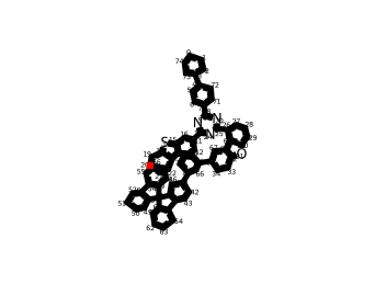 c1ccc(-c2ccc(-c3nc(-c4ccc5c(c4)sc4ccccc45)nc(-c4cccc5oc6ccc(-c7cccc(-c8ccc9c(c8)C8(c%10ccccc%10-c%10ccccc%108)c8ccccc8-9)c7)cc6c45)n3)cc2)cc1